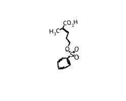 CC(=CCCOS(=O)(=O)c1ccccc1)C(=O)O